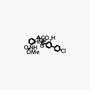 COC(=O)Nc1cccc([C@@H]2C[C@]2(NS(=O)(=O)c2ccc(-c3ccc(Cl)cc3)cc2)C(=O)O)c1